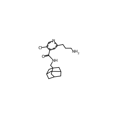 NCCCc1cc(C(=O)NCC23CC4CC(CC(C4)C2)C3)c(Cl)cn1